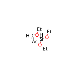 CC(C)=O.CCO[SiH](OCC)OCC